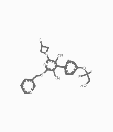 N#Cc1c(SCc2cccnc2)nc(N2CC(F)C2)c(C#N)c1-c1ccc(OC(F)(F)CO)cc1